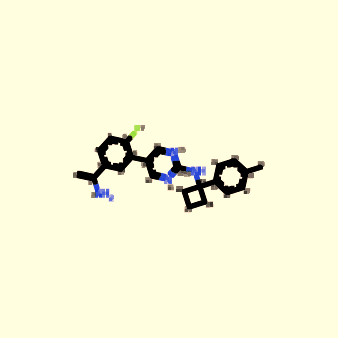 C=C(N)c1ccc(F)c(-c2cnc(NC3(c4ccc(C)cc4)CCC3)nc2)c1